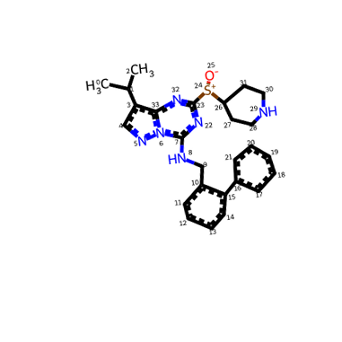 CC(C)c1cnn2c(NCc3ccccc3-c3ccccc3)nc([S+]([O-])C3CCNCC3)nc12